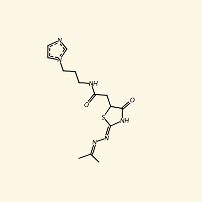 CC(C)=NN=C1NC(=O)C(CC(=O)NCCCn2ccnc2)S1